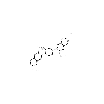 CCCCCCCCCCc1ccc2cc(OC)c(-c3cc(OC)c(-c4cc5cc(CCCCCCCCCC)ccc5cc4OC)cc3OC)cc2c1